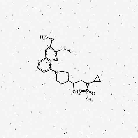 COc1cc2nccc(N3CCC(C(C)CN(C4CC4)S(N)(=O)=O)CC3)c2cc1OC